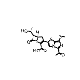 CSc1nc(C(C)=O)n2cc(C3=C(C(=O)O)N4C(=O)[C@H]([C@@H](C)O)[C@H]4C3)sc12